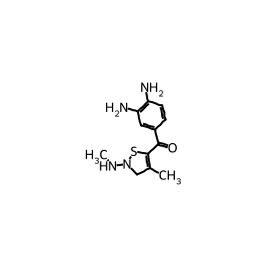 CNN1CC(C)=C(C(=O)c2ccc(N)c(N)c2)S1